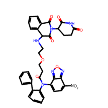 O=C1CCC(N2C(=O)c3ccccc3C(NCCOCCC(=O)N(c3ccccc3-c3ccccc3)c3ccc([N+](=O)[O-])c4nonc34)C2=O)C(=O)N1